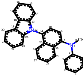 CN(c1ccccc1)c1ccc(-n2c3ccccc3c3ccccc32)c2ccccc12